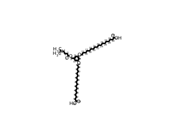 CN(C)CCCC(=O)OCc1cc(OCCCCCCCCCCCCCCCCCC(=O)O)cc(OCCCCCCCCCCCCCCCCCC(=O)O)c1